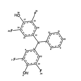 Oc1c(F)cc(C(c2ccccc2)c2cc(F)c(O)c(F)c2)cc1F